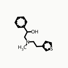 CN(CCc1ccsc1)CC(O)c1ccccc1